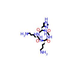 NCCCC[C@@H]1NC(=O)[C@H](CCCCN)NC(=O)[C@H](Cc2c[nH]cn2)NC(=O)CNC1=O